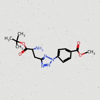 COC(=O)c1ccc(-n2nnc(C[C@H](N)C(=O)OC(C)(C)C)n2)cc1